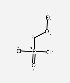 CCOCP(=O)(Cl)Cl